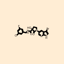 O=C(NCc1cc(F)cc(Cl)c1)[C@]1(O)CCN(c2cnc3[nH]cc(Br)c3c2)C1=O